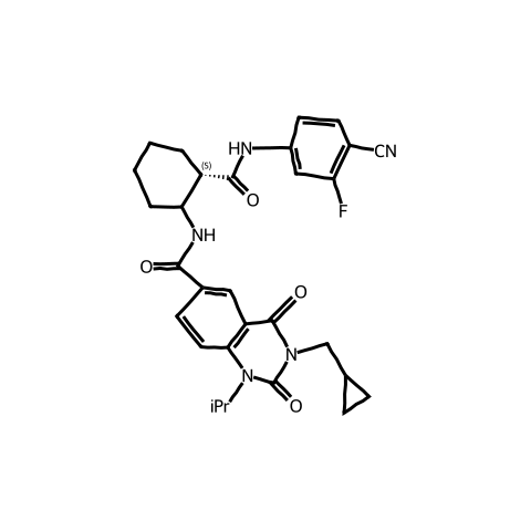 CC(C)n1c(=O)n(CC2CC2)c(=O)c2cc(C(=O)NC3CCCC[C@@H]3C(=O)Nc3ccc(C#N)c(F)c3)ccc21